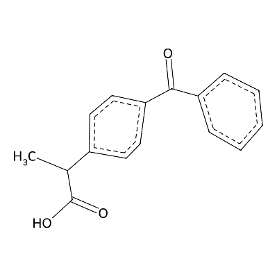 CC(C(=O)O)c1ccc(C(=O)c2ccccc2)cc1